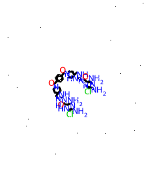 NC1=NC(N)=C(Cl)NC1C(=O)/N=C1\NCC2(CCN(C(=O)c3ccc(C(=O)N4CCC5(CC4)CN/C(=N\C(=O)c4nc(Cl)c(N)nc4N)N5)cc3)CC2)N1